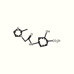 CCOC(=O)c1ccc(NC(=O)Cn2ccnc2C)cc1O